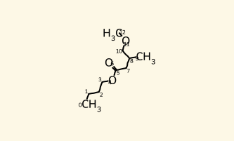 CCCCOC(=O)CC(C)COC